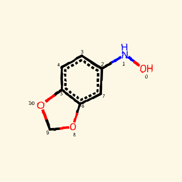 ONc1ccc2c(c1)OCO2